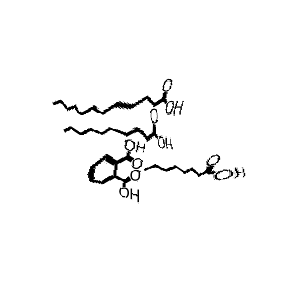 CCCCCCCC(=O)O.CCCCCCCCCC(=O)O.CCCCCCCCCCCC(=O)O.O=C(O)c1ccccc1C(=O)O